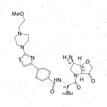 CC[C@H](C)[C@H](NC(=O)c1ccc(-c2csc(N3CCN(CCOC)CC3)n2)cc1)C(=O)N1C[C@@H](N)[C@H]2OCC(=O)[C@H]21